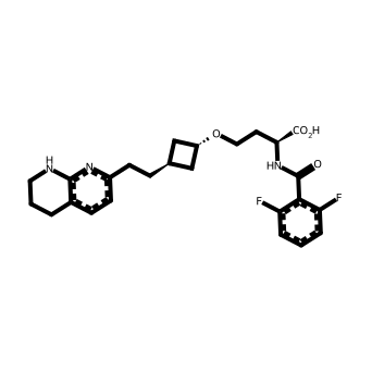 O=C(N[C@@H](CCO[C@H]1C[C@H](CCc2ccc3c(n2)NCCC3)C1)C(=O)O)c1c(F)cccc1F